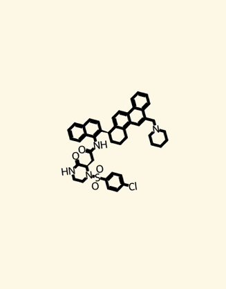 O=C(C[C@@H]1C(=O)NCCN1S(=O)(=O)c1ccc(Cl)cc1)Nc1c([C@@H]2CCCc3c2ccc2c3cc(CN3CCCCC3)c3ccccc32)ccc2ccccc12